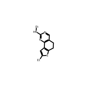 CCNc1ncc2c(n1)-c1cc(CC)sc1CC2